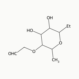 CCC1OC(C)C(OCC=O)C(O)C1O